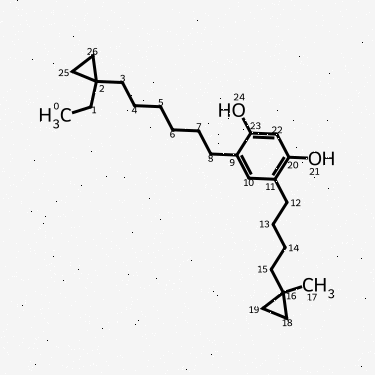 CCC1(CCCCCCc2cc(CCCCC3(C)CC3)c(O)cc2O)CC1